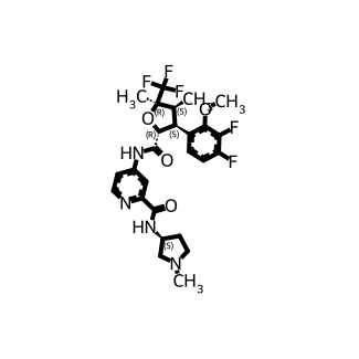 COc1c([C@H]2[C@H](C(=O)Nc3ccnc(C(=O)N[C@H]4CCN(C)C4)c3)O[C@@](C)(C(F)(F)F)[C@H]2C)ccc(F)c1F